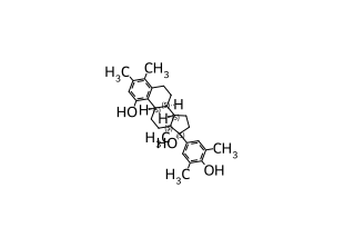 Cc1cc(O)c2c(c1C)CC[C@@H]1[C@@H]2CC[C@@]2(C)[C@H]1CC[C@@]2(O)c1cc(C)c(O)c(C)c1